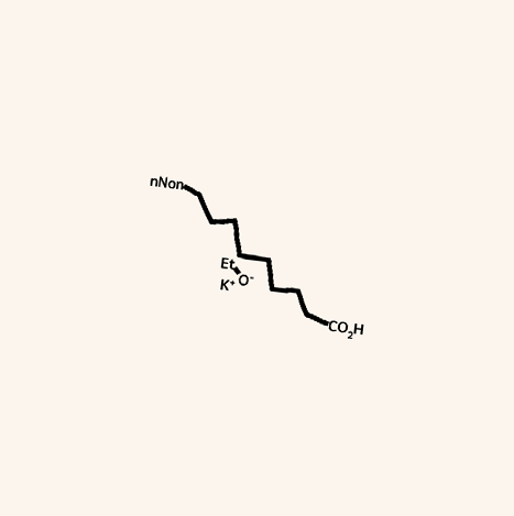 CCCCCCCCCCCCCCCCCC(=O)O.CC[O-].[K+]